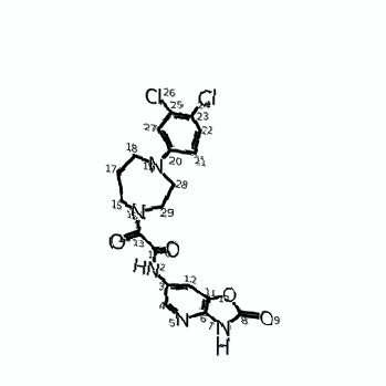 O=C(Nc1cnc2[nH]c(=O)oc2c1)C(=O)N1CCCN(c2ccc(Cl)c(Cl)c2)CC1